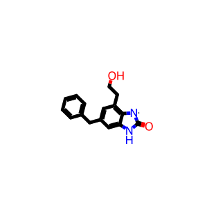 O=C1[N]c2c(CCO)cc(Cc3ccccc3)cc2N1